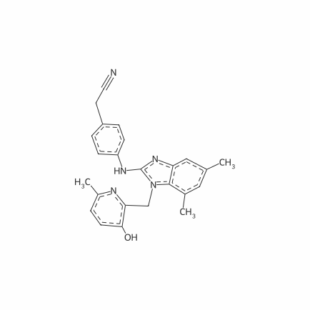 Cc1cc(C)c2c(c1)nc(Nc1ccc(CC#N)cc1)n2Cc1nc(C)ccc1O